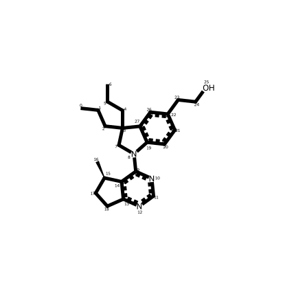 CCCC1(CCC)CN(c2ncnc3c2[C@H](C)CC3)c2ccc(CCO)cc21